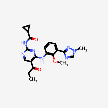 CCC(=O)c1cnc(NC(=O)C2CC2)nc1Nc1cccc(-c2ncn(C)n2)c1OC